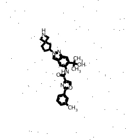 Cc1cccc(-c2nc(C(=O)Nc3cc4cn(C5CCC6(CNC6)C5)nc4cc3C(C)(C)O)co2)c1